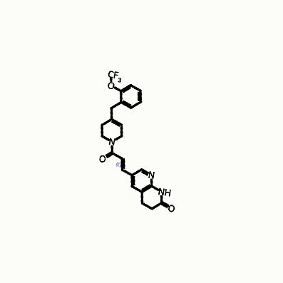 O=C1CCc2cc(/C=C/C(=O)N3CC=C(Cc4ccccc4OC(F)(F)F)CC3)cnc2N1